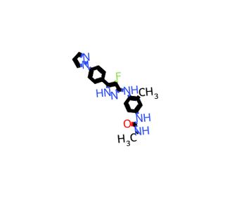 CNC(=O)Nc1ccc(Nc2n[nH]c(-c3ccc(-n4cccn4)cc3)c2F)c(C)c1